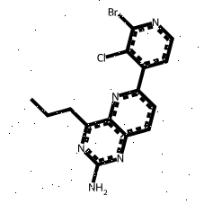 CCCc1nc(N)nc2ccc(-c3ccnc(Br)c3Cl)nc12